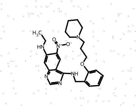 CCNc1cc2ncnc(NCc3ccccc3OCCCN3CCCCC3)c2cc1[N+](=O)[O-]